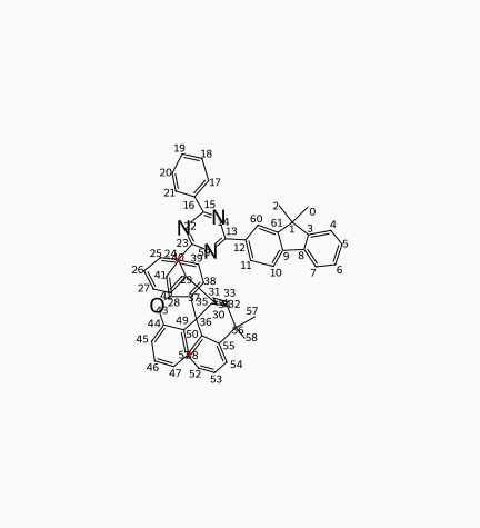 CC1(C)c2ccccc2-c2ccc(-c3nc(-c4ccccc4)nc(-c4ccccc4-c4cccc5c4C4(c6ccccc6Oc6ccccc64)c4ccccc4C5(C)C)n3)cc21